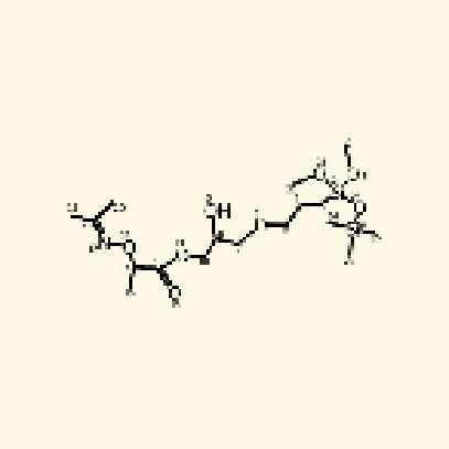 CO[Si](CCCOCC(O)COC(=O)C(C)ON=C(C)C)(OC)O[Si](C)(C)C